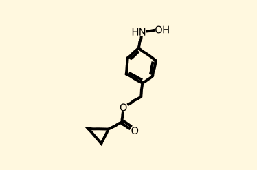 O=C(OCc1ccc(NO)cc1)C1CC1